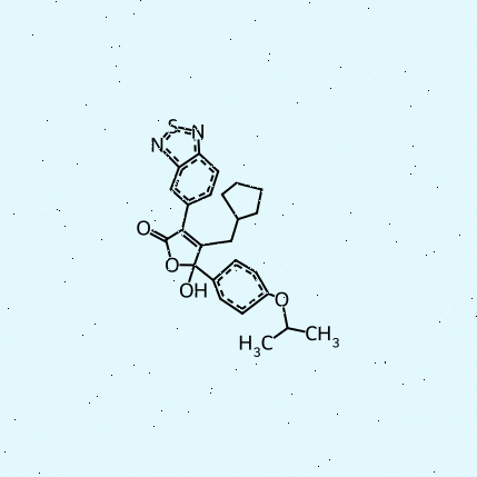 CC(C)Oc1ccc(C2(O)OC(=O)C(c3ccc4nsnc4c3)=C2CC2CCCC2)cc1